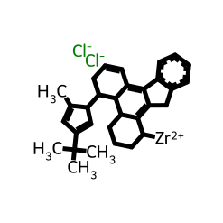 CC1=CC(C(C)(C)C)=CC1C1CC=CC2=C3C(=C4[CH]([Zr+2])CCCC4C21)Cc1ccccc13.[Cl-].[Cl-]